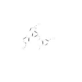 Cc1ccc(CC(=O)O)c(OCc2cc(-c3ccnc(CN)c3)c3ccn(C)c3c2)c1